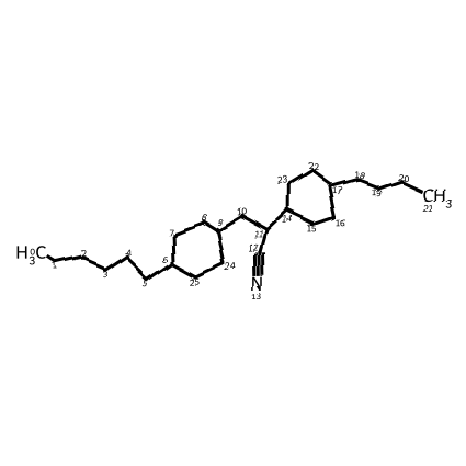 CCCCCCC1CCC(CC(C#N)C2CCC(CCCC)CC2)CC1